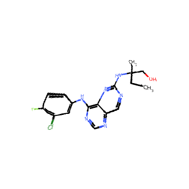 CCC(C)(CO)Nc1ncc2ncnc(Nc3ccc(F)c(Cl)c3)c2n1